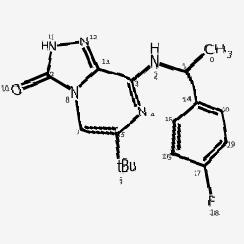 CC(Nc1nc(C(C)(C)C)cn2c(=O)[nH]nc12)c1ccc(F)cc1